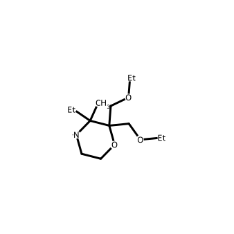 CCOCC1(COCC)OCC[N]C1(C)CC